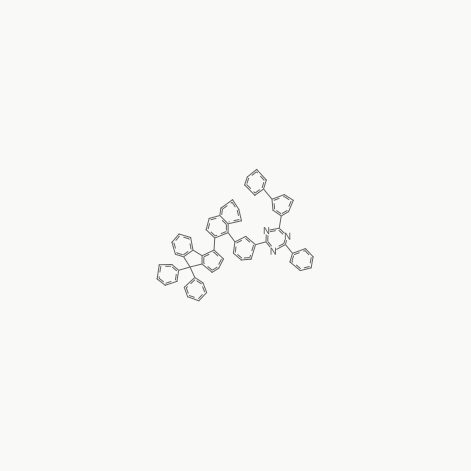 c1ccc(-c2cccc(-c3nc(-c4ccccc4)nc(-c4cccc(-c5c(-c6cccc7c6-c6ccccc6C7(c6ccccc6)c6ccccc6)ccc6ccccc56)c4)n3)c2)cc1